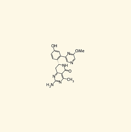 COc1cncc(-c2cc(O)ccc2[C@H]2Cc3nc(N)nc(C)c3C(=O)N2)n1